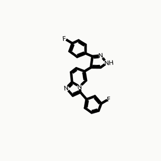 Fc1ccc(-c2n[nH]cc2-c2ccc3ncc(-c4cccc(F)c4)n3c2)cc1